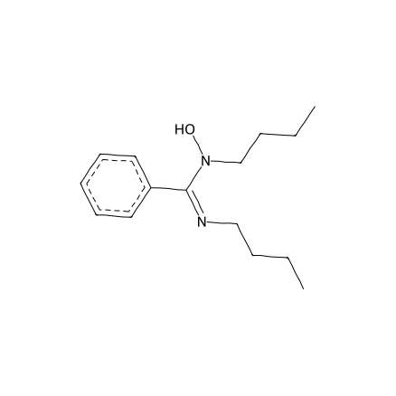 CCCCN=C(c1ccccc1)N(O)CCCC